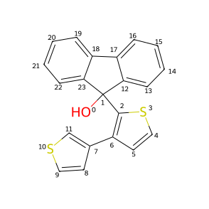 OC1(c2sccc2-c2ccsc2)c2ccccc2-c2ccccc21